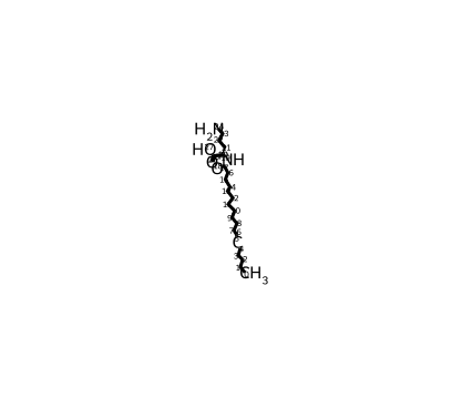 CCCCCCCCCCCCCCCCCC(=O)N[C@H](CCCN)C(=O)O